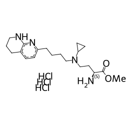 COC(=O)[C@@H](N)CCN(CCCCc1ccc2c(n1)NCCC2)C1CC1.Cl.Cl.Cl